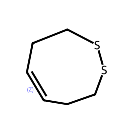 C1=C\CCSSCC/1